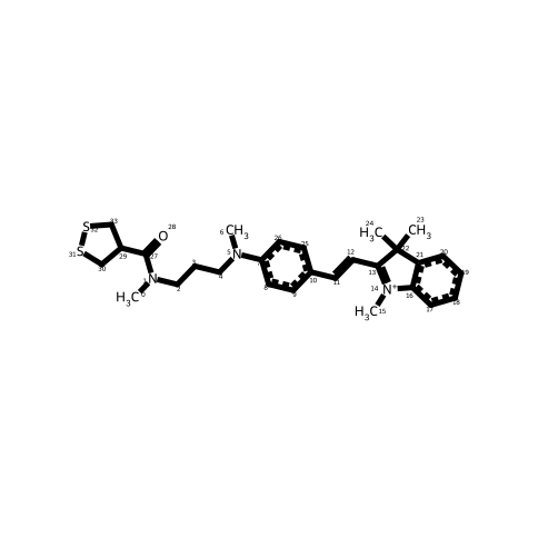 CN(CCCN(C)c1ccc(/C=C/C2=[N+](C)c3ccccc3C2(C)C)cc1)C(=O)C1CSSC1